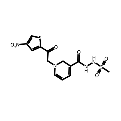 CS(=O)(=O)NNC(=O)C1=CC=CN(CC(=O)c2cc([N+](=O)[O-])cs2)C1